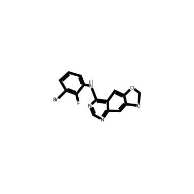 Fc1c(Br)cccc1Nc1ncnc2cc3c(cc12)OCO3